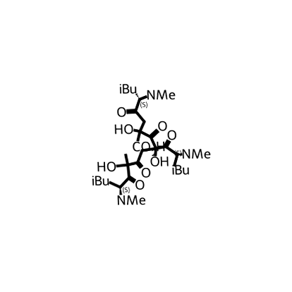 CCC(C)[C@H](NC)C(=O)CC(O)(C(=O)O)C(=O)C(O)(CC(=O)C(C)(O)C(=O)[C@@H](NC)C(C)CC)C(=O)[C@@H](NC)C(C)CC